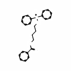 O=C(OCCCCOP(=O)(c1ccccc1)c1ccccc1)c1ccccc1